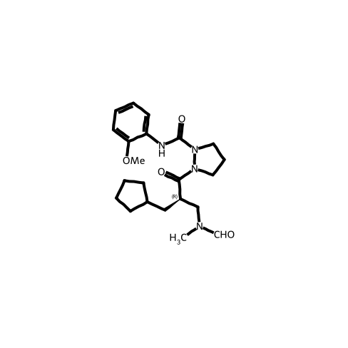 COc1ccccc1NC(=O)N1CCCN1C(=O)[C@H](CC1CCCC1)CN(C)C=O